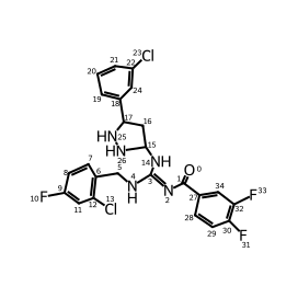 O=C(/N=C(/NCc1ccc(F)cc1Cl)NC1CC(c2cccc(Cl)c2)NN1)c1ccc(F)c(F)c1